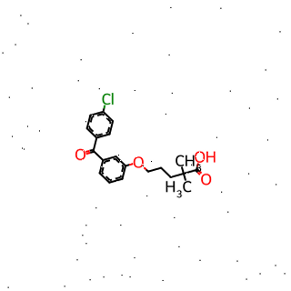 CC(C)(CCCOc1cccc(C(=O)c2ccc(Cl)cc2)c1)C(=O)O